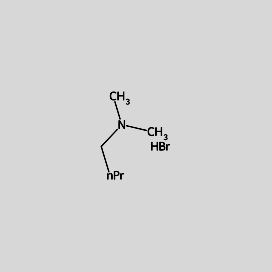 Br.CCCCN(C)C